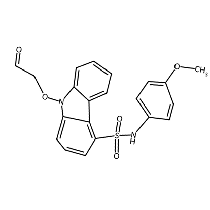 COc1ccc(NS(=O)(=O)c2cccc3c2c2ccccc2n3OCC=O)cc1